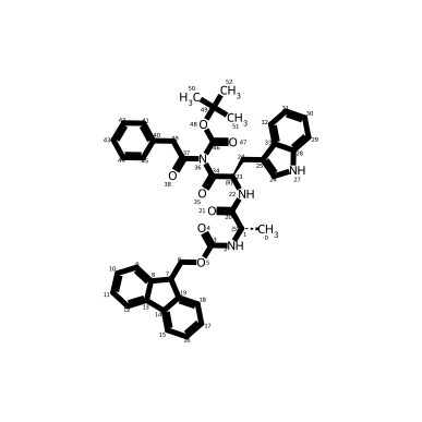 C[C@H](NC(=O)OCC1c2ccccc2-c2ccccc21)C(=O)N[C@H](Cc1c[nH]c2ccccc12)C(=O)N(C(=O)Cc1ccccc1)C(=O)OC(C)(C)C